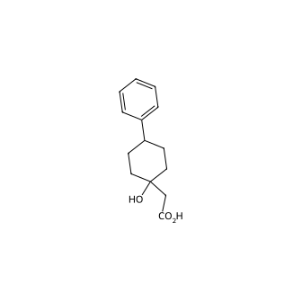 O=C(O)CC1(O)CCC(c2ccccc2)CC1